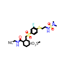 CN(C)S(=O)(=O)NCCSc1ccc(S(=O)(=O)CC2CCCCC2C(=O)NCC#N)cc1F.CS(=O)(=O)O